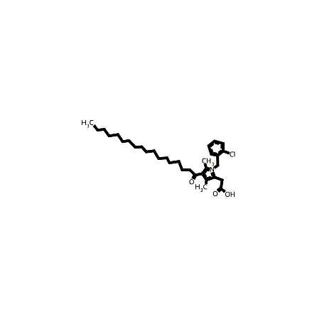 CCCCCCCCCCCCCCCCCC(=O)c1c(C)c(CC(=O)O)n(Cc2ccccc2Cl)c1C